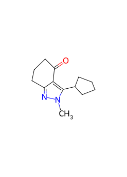 Cn1nc2c(c1C1CCCC1)C(=O)CCC2